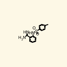 Cc1ccc(S(=O)(=O)Nc2ccccc2C(=N)N)cc1